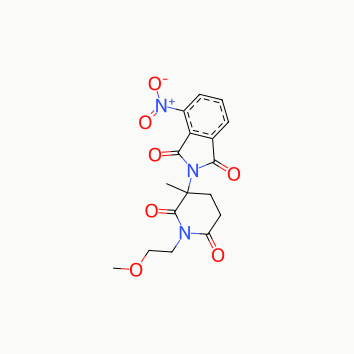 COCCN1C(=O)CCC(C)(N2C(=O)c3cccc([N+](=O)[O-])c3C2=O)C1=O